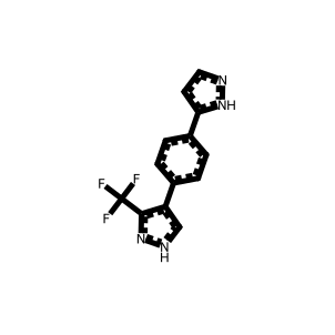 FC(F)(F)c1n[nH]cc1-c1ccc(-c2ccn[nH]2)cc1